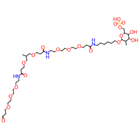 CC(COCCC(=O)NCCOCCOCCOCCC=O)COCCC(=O)NCCOCCOCCOCCC(=O)NCCCCCCOC1OC(COS(=O)(=O)O)C(O)C(O)C1C